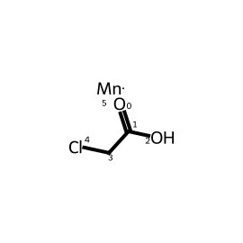 O=C(O)CCl.[Mn]